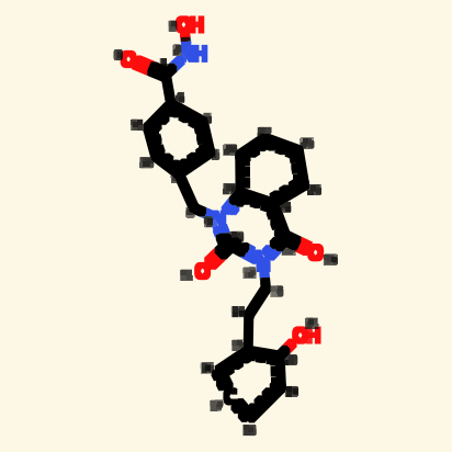 O=C(NO)c1ccc(Cn2c(=O)n(CCc3ccccc3O)c(=O)c3ccccc32)cc1